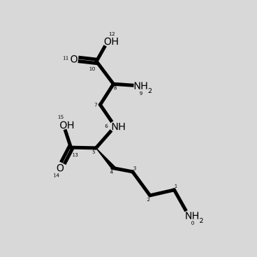 NCCCC[C@H](NCC(N)C(=O)O)C(=O)O